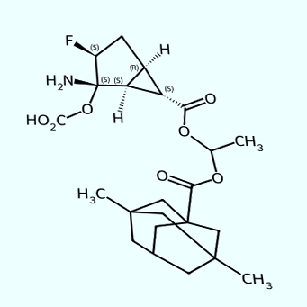 CC(OC(=O)[C@H]1[C@@H]2C[C@H](F)[C@@](N)(OC(=O)O)[C@@H]21)OC(=O)C12CC3CC(C)(CC(C)(C3)C1)C2